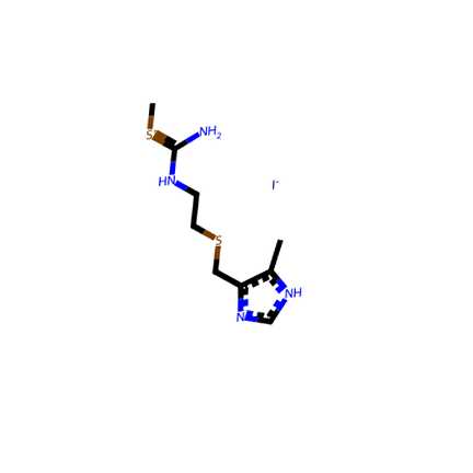 C/[S+]=C(\N)NCCSCc1nc[nH]c1C.[I-]